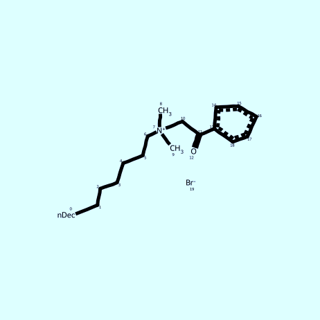 CCCCCCCCCCCCCCCC[N+](C)(C)CC(=O)c1ccccc1.[Br-]